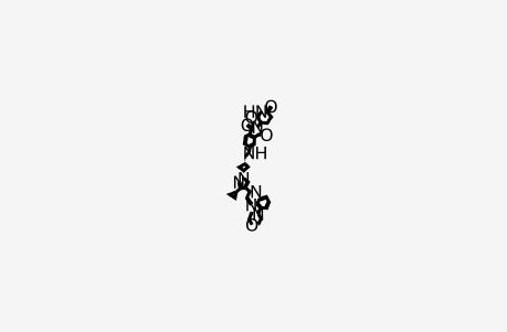 O=C1CCC(N2C(=O)c3ccc(NC[C@H]4C[C@H](n5cc(-c6cnc7c(N8CCOCC8)cccc7n6)c(C6CC6)n5)C4)cc3C2=O)C(=O)N1